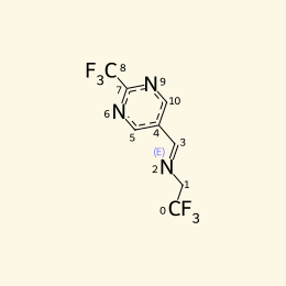 FC(F)(F)C/N=C/c1cnc(C(F)(F)F)nc1